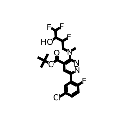 CN(CC(F)C(O)C(F)F)c1nnc(-c2cc(Cl)ccc2F)cc1C(=O)OC(C)(C)C